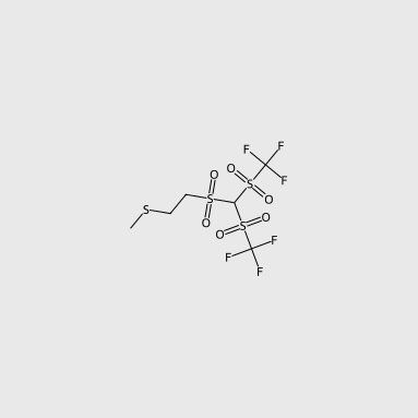 CSCCS(=O)(=O)C(S(=O)(=O)C(F)(F)F)S(=O)(=O)C(F)(F)F